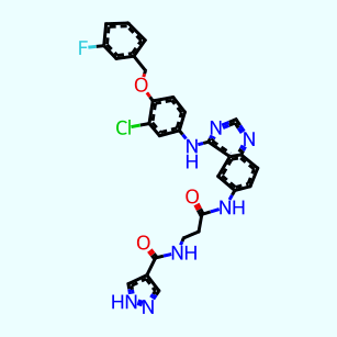 O=C(CCNC(=O)c1cn[nH]c1)Nc1ccc2ncnc(Nc3ccc(OCc4cccc(F)c4)c(Cl)c3)c2c1